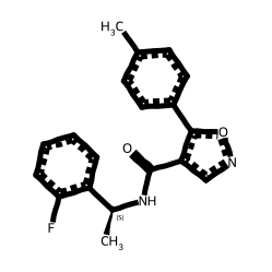 Cc1ccc(-c2oncc2C(=O)N[C@@H](C)c2ccccc2F)cc1